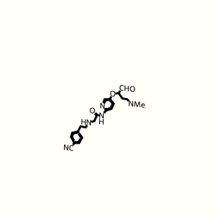 CNCCC(C=O)Oc1ccc(NC(=O)CNCCc2ccc(C#N)cc2)nc1